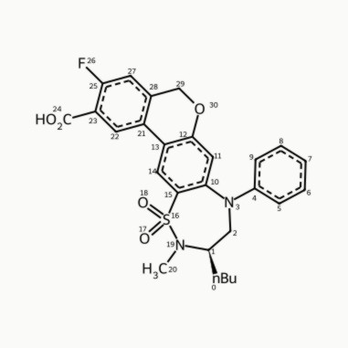 CCCC[C@@H]1CN(c2ccccc2)c2cc3c(cc2S(=O)(=O)N1C)-c1cc(C(=O)O)c(F)cc1CO3